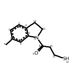 Cc1ccc2c(c1)N(C(=O)CCS)CC2